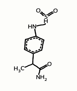 CC(C(N)=O)c1ccc(NC[SH](=O)=O)cc1